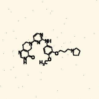 COc1ccc(Nc2nccc(N3CCc4nc[nH]c(=O)c4C3)n2)cc1OCCCN1CCCC1